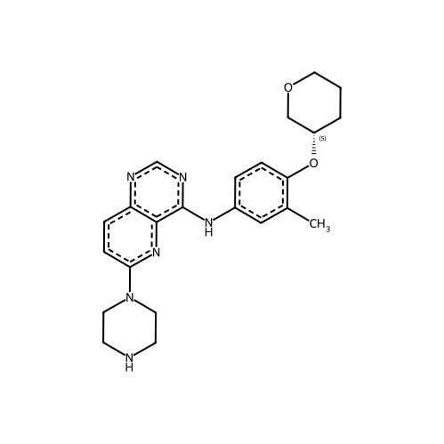 Cc1cc(Nc2ncnc3ccc(N4CCNCC4)nc23)ccc1O[C@H]1CCCOC1